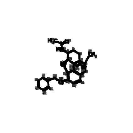 CC(=O)N[C@H]1CCC2C3Cc4ccc(OCc5ccccc5)c5c4C2(CCN3C)[C@H]1O5